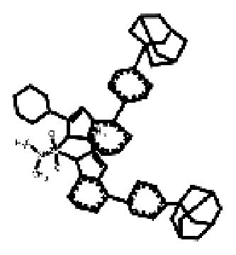 CC1=Cc2c(-c3ccc(C45CC6CC(CC(C6)C4)C5)cc3)cccc2[CH]1[Zr]([Cl])([Cl])([CH]1C(C2CCCCC2)=Cc2c(-c3ccc(C45CC6CC(CC(C6)C4)C5)cc3)cccc21)[SiH](C)C